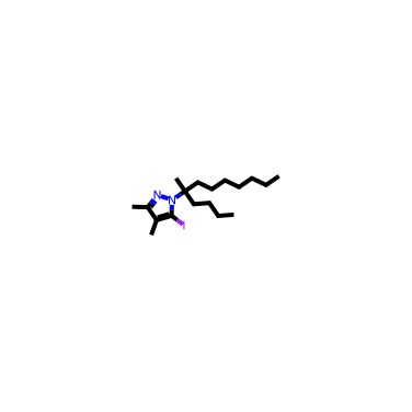 CCCCCCCC(C)(CCCC)n1nc(C)c(C)c1I